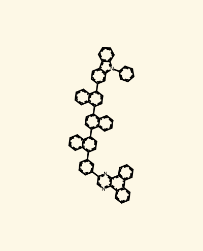 c1ccc(-n2c3ccccc3c3ccc(-c4ccc(-c5ccc(-c6ccc(-c7cccc(-c8cnc9c%10ccccc%10c%10ccccc%10c9n8)c7)c7ccccc67)c6ccccc56)c5ccccc45)cc32)cc1